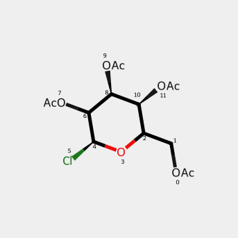 CC(=O)OCC1O[C@@H](Cl)C(OC(C)=O)[C@@H](OC(C)=O)[C@H]1OC(C)=O